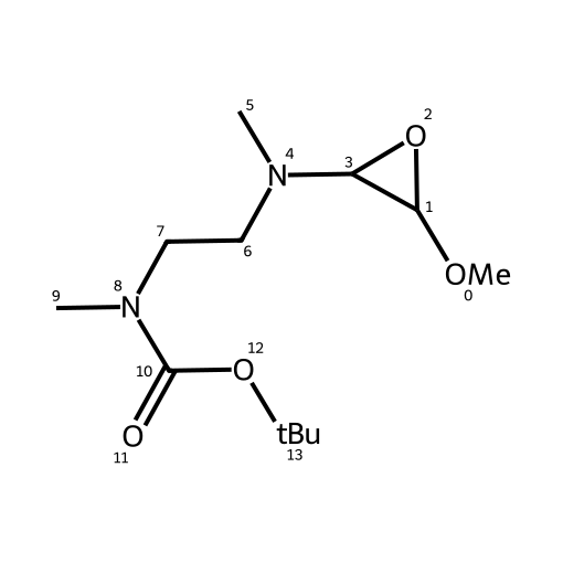 COC1OC1N(C)CCN(C)C(=O)OC(C)(C)C